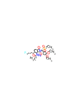 CCCS(=O)(=O)C[C@H](c1ccc(OC)c(OCC)c1)N1C(=O)c2ccc(CCCCCF)c(NC(=O)CC)c2C1=O